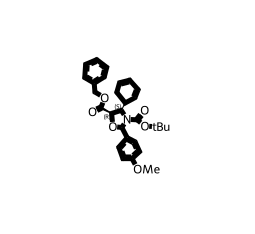 COc1ccc(C2O[C@@H](C(=O)OCc3ccccc3)[C@H](C3C=CC=CC3)N2C(=O)OC(C)(C)C)cc1